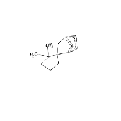 CC1(C)CCCC12Cc1ccc2o1